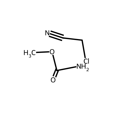 COC(N)=O.N#CCCl